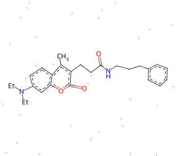 CCN(CC)c1ccc2c(C)c(CCC(=O)NCCCc3ccccc3)c(=O)oc2c1